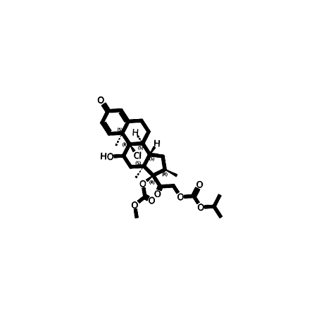 COC(=O)O[C@]1(C(=O)COC(=O)OC(C)C)[C@H](C)C[C@H]2[C@@H]3CCC4=CC(=O)C=C[C@]4(C)[C@@]3(Cl)C(O)C[C@@]21C